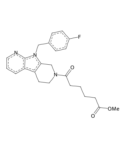 COC(=O)CCCCC(=O)N1CCc2c(n(Cc3ccc(F)cc3)c3ncccc23)C1